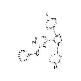 Ic1ccc(-c2ncn(C3CCNCC3)c2-c2ccnc(Oc3ccccc3)n2)cc1